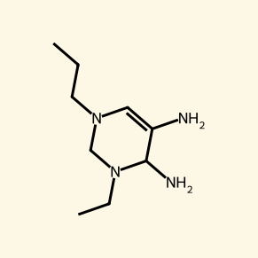 CCCN1C=C(N)C(N)N(CC)C1